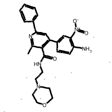 Cc1nc(-c2ccccc2)cc(-c2ccc(N)c([N+](=O)[O-])c2)c1C(=O)NCCN1CCOCC1